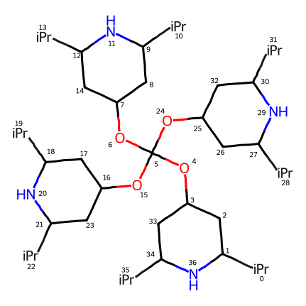 CC(C)C1CC(OC(OC2CC(C(C)C)NC(C(C)C)C2)(OC2CC(C(C)C)NC(C(C)C)C2)OC2CC(C(C)C)NC(C(C)C)C2)CC(C(C)C)N1